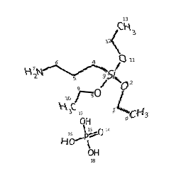 CCO[Si](CCCN)(OCC)OCC.O=P(O)(O)O